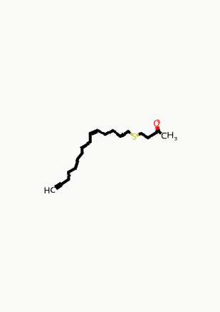 C#CCCCCCCC/C=C\CCCCSCCC(C)=O